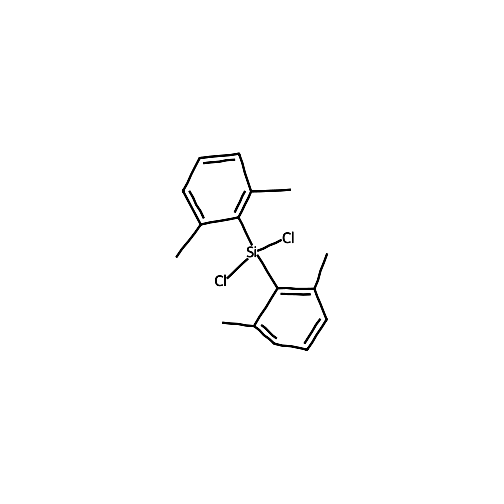 Cc1cccc(C)c1[Si](Cl)(Cl)c1c(C)cccc1C